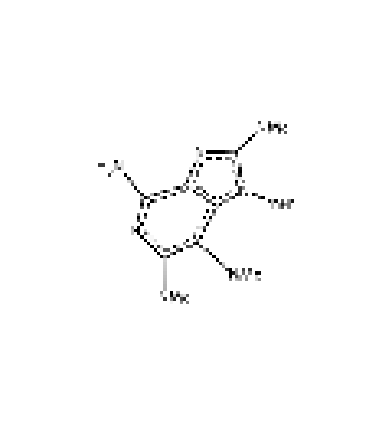 [CH2]CCn1c(NC)nc2c(N)nc(NC)c(NC)c21